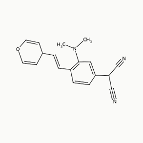 CN(C)c1cc(C(C#N)C#N)ccc1C=CC1C=COC=C1